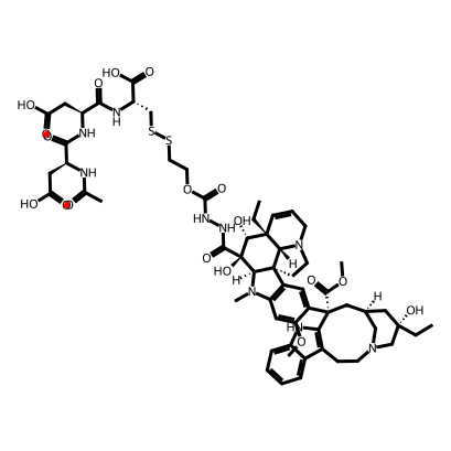 CC[C@]1(O)C[C@H]2CN(CCc3c([nH]c4ccccc34)[C@@](C(=O)OC)(c3cc4c(cc3OC)N(C)[C@H]3[C@](O)(C(=O)NNC(=O)OCCSSC[C@H](NC(=O)[C@H](CC(=O)O)NC(=O)[C@H](CC(=O)O)NC(C)=O)C(=O)O)[C@H](O)[C@]5(CC)C=CCN6CC[C@]43[C@@H]65)C2)C1